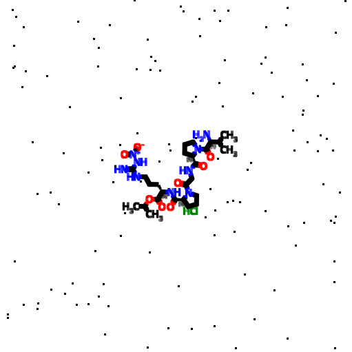 CC(C)OC(=O)[C@H](CCCNC(=N)N[N+](=O)[O-])NC(=O)[C@@H]1CCCN1C(=O)CNC(=O)[C@@H]1CCCN1C(=O)[C@@H](N)C(C)C.Cl